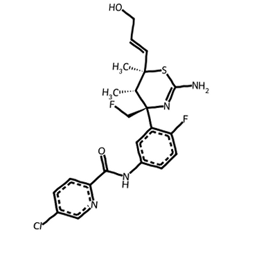 C[C@@H]1[C@@](C)(/C=C/CO)SC(N)=N[C@]1(CF)c1cc(NC(=O)c2ccc(Cl)cn2)ccc1F